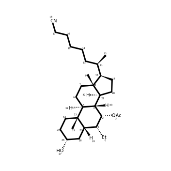 CC[C@H]1[C@@H](OC(C)=O)[C@@H]2[C@H](CC[C@]3(C)[C@@H]([C@H](C)CCCCCC#N)CC[C@@H]23)[C@@]2(C)CC[C@@H](O)C[C@@H]12